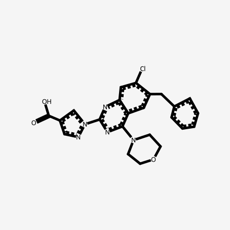 O=C(O)c1cnn(-c2nc(N3CCOCC3)c3cc(Cc4ccccc4)c(Cl)cc3n2)c1